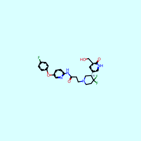 O=C(CCN1CCC(F)(F)[C@@H](c2c[nH]c(=O)c(CO)c2)C1)Nc1ccc(Oc2ccc(F)cc2)cn1